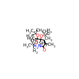 CC(=CC([SiH3])(O[Si](C)(C)C)C(C)(O[Si](C)(C)C)O[Si](C)(C)C)C(N)=O